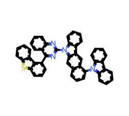 c1cc(-n2c3ccccc3c3ccccc32)c2cc3c4ccccc4n(-c4nc(-c5cccc6sc7ccccc7c56)c5ccccc5n4)c3cc2c1